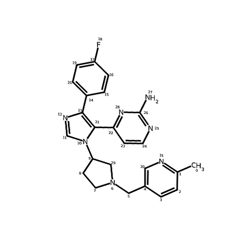 Cc1ccc(CN2CCC(n3cnc(-c4ccc(F)cc4)c3-c3ccnc(N)n3)C2)cn1